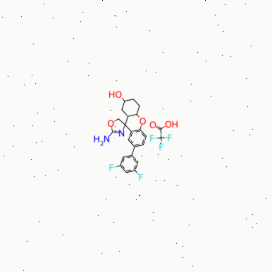 NC1=NC2(CO1)c1cc(-c3cc(F)cc(F)c3)ccc1OC1CCC(O)CC12.O=C(O)C(F)(F)F